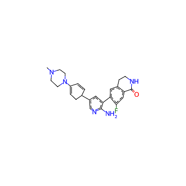 CN1CCN(C2=CCC(c3cnc(N)c(-c4cc5c(cc4F)C(=O)NCC5)c3)C=C2)CC1